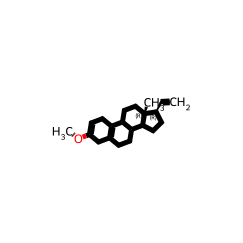 C=C[C@H]1CCC2C3CCC4=C(CC=C(OC)C4)C3CC[C@@]21C